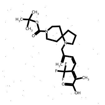 C=C(/C=C\C(=C(/C)C(=O)O)C(F)(F)F)CN1CCCC12CCN(C(=O)OC(C)(C)C)CC2